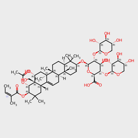 C/C=C(/C)C(=O)O[C@H]1[C@H](OC(C)=O)[C@]2(CO)[C@H](O)C[C@]3(C)C(=CC[C@@H]4[C@@]5(C)CC[C@H](O[C@@H]6O[C@H](C(=O)O)[C@@H](O[C@@H]7OC[C@@H](O)[C@H](O)[C@H]7O)[C@H](O)[C@H]6O[C@@H]6OC[C@@H](O)[C@H](O)[C@H]6O)C(C)(C)[C@@H]5CC[C@]43C)[C@@H]2CC1(C)C